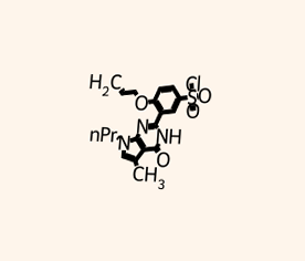 C=CCOc1ccc(S(=O)(=O)Cl)cc1-c1nc2c(c(C)cn2CCC)c(=O)[nH]1